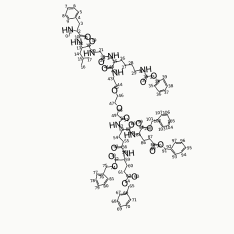 CNC(Cc1ccccc1)C(=O)NC(CC(C)C)C(=O)NCC(=O)NC(CCCCNC(=O)Oc1ccccc1)C(=O)NCCOCCOCC(=O)NC(CCC(=O)NC(CCC(=O)OCc1ccccc1)C(=O)OCc1ccccc1)C(=O)NC(CCC(=O)OCc1ccccc1)C(=O)OCc1ccccc1